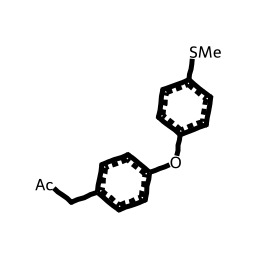 CSc1ccc(Oc2ccc(CC(C)=O)cc2)cc1